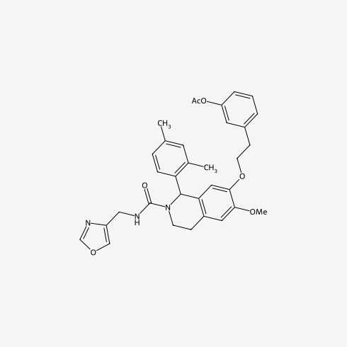 COc1cc2c(cc1OCCc1cccc(OC(C)=O)c1)C(c1ccc(C)cc1C)N(C(=O)NCc1cocn1)CC2